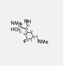 CNCc1cc(F)cc(/C(C=N)=C(\CO)NC)c1